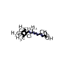 COc1c(C)c(C)c(/C=C/C(C)=C/C=C/C(C)=C/C(=O)O)c(Cl)c1C